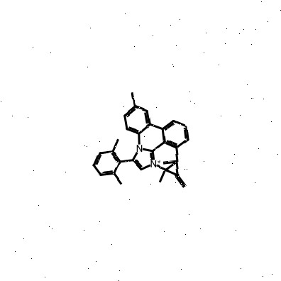 C=C1C2(C)c3cccc4c5cc(C)ccc5n5c(-c6c(C)cccc6C)c[n+](c5c34)C12C